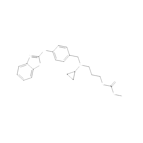 CC(C)NC(=O)NCCCN(Cc1ccc(Oc2nc3ccccc3s2)cc1)C1CC1